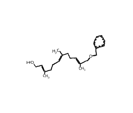 CC(=CCO)CCC=C(C)CCC=C(C)COCc1ccccc1